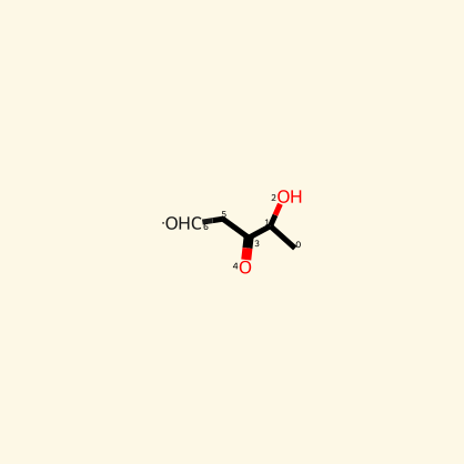 CC(O)C(=O)C[C]=O